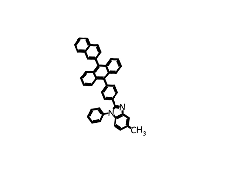 Cc1ccc2c(c1)nc(-c1ccc(-c3c4ccccc4c(-c4ccc5ccccc5c4)c4ccccc34)cc1)n2-c1ccccc1